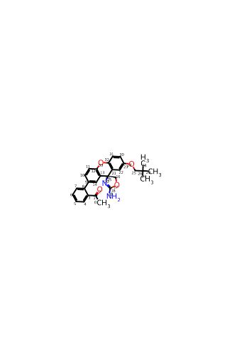 CC(=O)c1ccccc1-c1ccc2c(c1)[C@]1(COC(N)=N1)c1cc(OCC(C)(C)C)ccc1O2